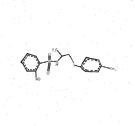 Cc1ccc(SCC(NS(=O)(=O)c2ccccc2N=O)C(F)(F)F)cc1